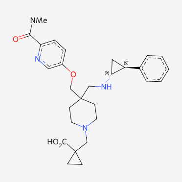 CNC(=O)c1ccc(OCC2(CN[C@@H]3C[C@H]3c3ccccc3)CCN(CC3(C(=O)O)CC3)CC2)cn1